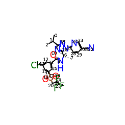 CC(C)c1nc([C@H](C)NC(=O)c2cc(Cl)cc(S(=O)(=O)CC(F)(F)F)c2)n(-c2ccc(C#N)cn2)n1